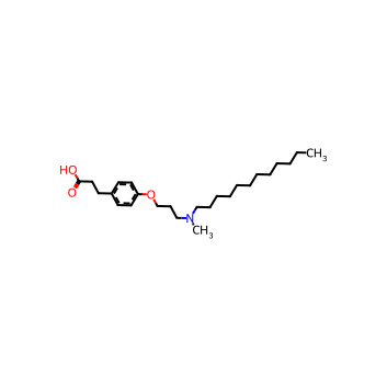 CCCCCCCCCCCCN(C)CCCOc1ccc(CCC(=O)O)cc1